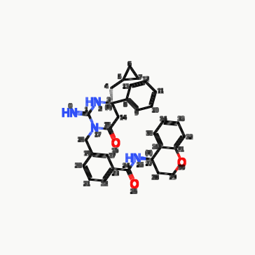 N=C1N[C@@](CC2CC2)(c2ccccc2)CC(=O)N1Cc1cccc(C(=O)N[C@@H]2CCOc3ccccc32)c1